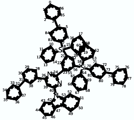 c1ccc(-c2ccc([Si](c3ccccc3)(c3ccccc3)c3cc(-c4nc(-c5cccc(-c6ccccc6)c5)cc(-n5c6ccccc6c6ccccc65)n4)cc([Si](c4ccccc4)(c4ccccc4)c4ccc(-c5ccccc5)cc4)c3)cc2)cc1